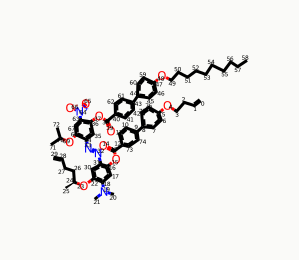 C=CCCOc1ccc(-c2ccc(C(=O)Oc3cc(N(C)C)c(O[C@@H](C)CCC=C)cc3/N=N/c3cc(OC(=O)c4ccc(-c5ccc(OCCCCCCCCCC)cc5)cc4)c([N+](=O)[O-])cc3OC(C)C)cc2)cc1